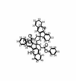 O=C(CCC1(CCC2(CCC(=O)Oc3ccccc3)C3=CCCC=C3c3nc4c(cc32)C=CCC4)C2=C[SH]=CC=C2C2=C1C=C1C=CC=CC1N2)Oc1ccccc1